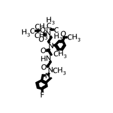 CC(=O)c1ccc(C)c(N(CCN(C(=O)OC(C)(C)C)C(C)C)C(=O)CNCC(=O)N(C)N2Cc3ccc(F)cc3C2)c1